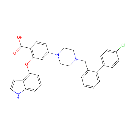 O=C(O)c1ccc(N2CCN(Cc3ccccc3-c3ccc(Cl)cc3)CC2)cc1Oc1cccc2[nH]ccc12